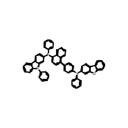 c1ccc(N(c2ccc(-c3ccc(N(c4ccccc4)c4ccc5c6ccccc6n(-c6ccccc6)c5c4)c4ccccc34)cc2)c2ccc3c(c2)oc2ccccc23)cc1